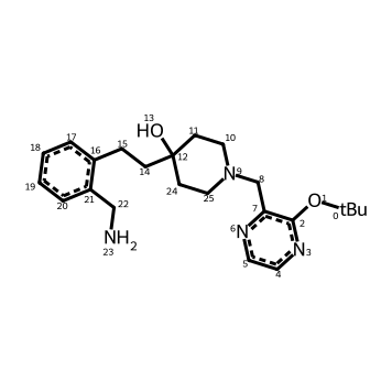 CC(C)(C)Oc1nccnc1CN1CCC(O)(CCc2ccccc2CN)CC1